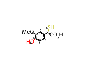 COc1cc(C(S)C(=O)O)ccc1O